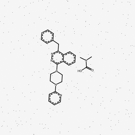 CN(C)C(=O)O.c1ccc(Cc2nnc(N3CCN(c4ccccn4)CC3)c3ccccc23)cc1